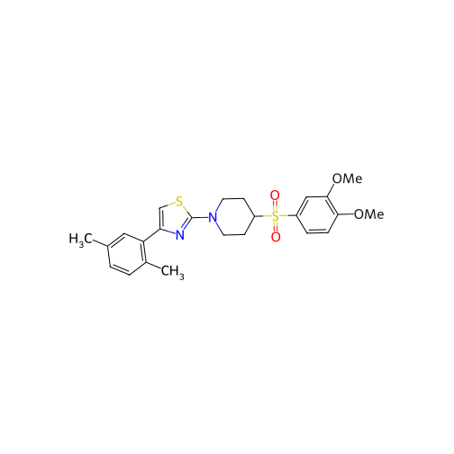 COc1ccc(S(=O)(=O)C2CCN(c3nc(-c4cc(C)ccc4C)cs3)CC2)cc1OC